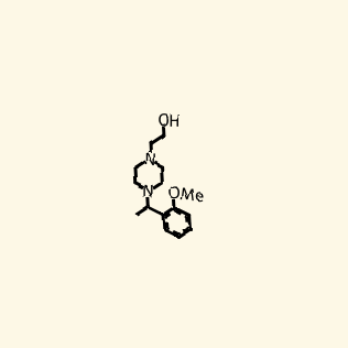 COc1ccccc1C(C)N1CCN(CCO)CC1